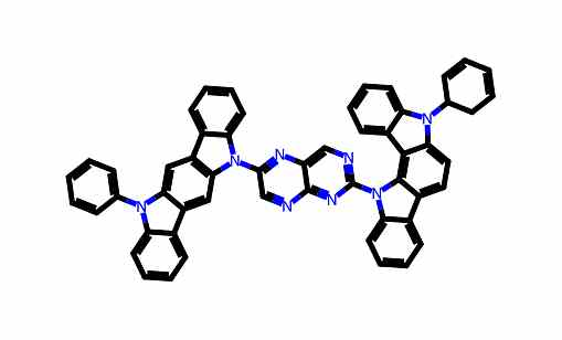 C1=CCC(n2c3ccccc3c3c4c(ccc32)c2ccccc2n4-c2ncc3nc(-n4c5ccccc5c5cc6c(cc54)c4ccccc4n6-c4ccccc4)cnc3n2)C=C1